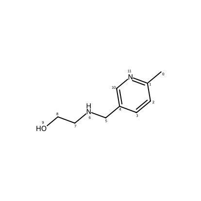 Cc1ccc(CNCCO)cn1